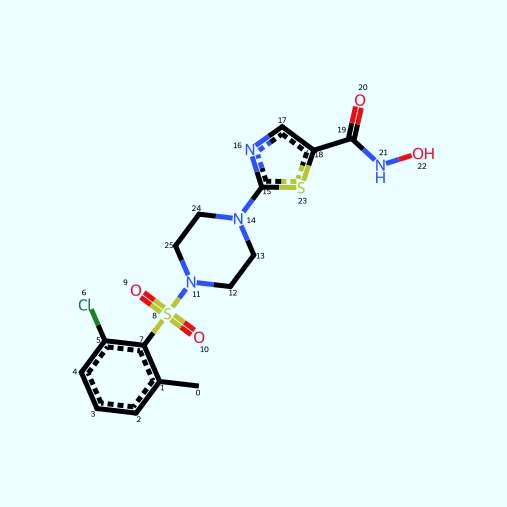 Cc1cccc(Cl)c1S(=O)(=O)N1CCN(c2ncc(C(=O)NO)s2)CC1